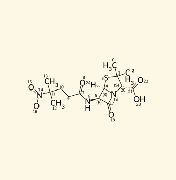 CC1(C)S[C@@H]2[C@H](NC(=O)CCC(C)(C)[N+](=O)[O-])C(=O)N2[C@H]1C(=O)O